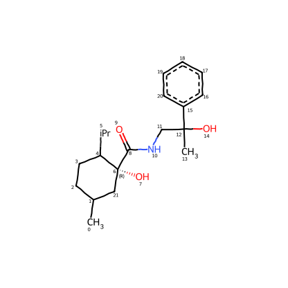 CC1CCC(C(C)C)[C@@](O)(C(=O)NCC(C)(O)c2ccccc2)C1